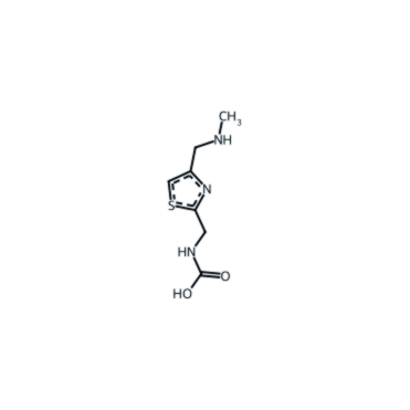 CNCc1csc(CNC(=O)O)n1